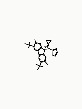 Cc1cc2c(cc1C(C)(C)C)-c1cc(C(C)(C)C)c(C)cc1[CH]2[Zr]([C]1=CC=CC1)=[C]1CC1